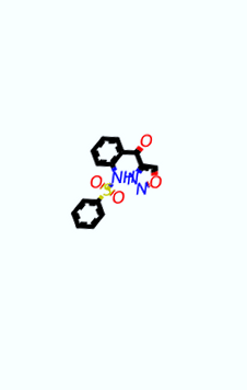 O=C(c1conn1)c1ccccc1NS(=O)(=O)c1ccccc1